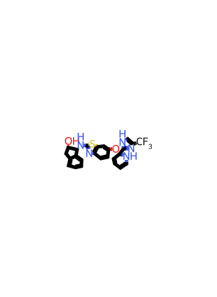 O[C@H]1Cc2ccccc2[C@H]1Nc1nc2ccc(OC3(c4nc(C(F)(F)F)c[nH]4)C=CC=CN3)cc2s1